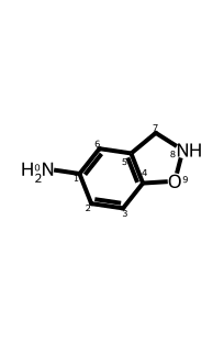 Nc1ccc2c(c1)CNO2